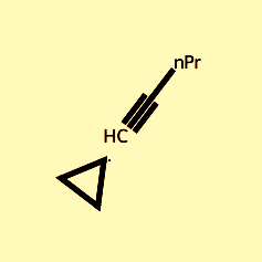 C#CCCC.[CH]1CC1